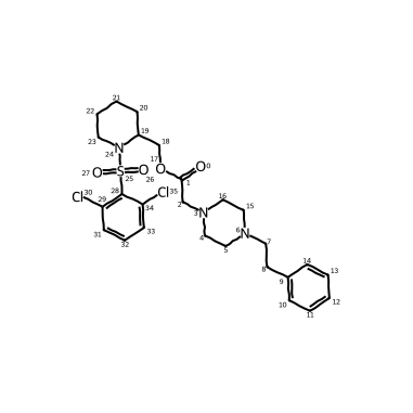 O=C(CN1CCN(CCc2ccccc2)CC1)OCC1CCCCN1S(=O)(=O)c1c(Cl)cccc1Cl